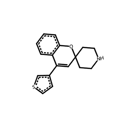 C1=C(c2ccsc2)c2ccccc2OC12CCNCC2